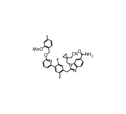 COc1cc(C)ccc1COc1cccc(-c2cc(F)c(Cc3nc4ccc(C(N)=O)cc4n3CC3(CC#N)CC3)cc2F)n1